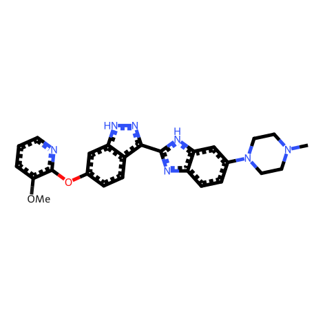 COc1cccnc1Oc1ccc2c(-c3nc4ccc(N5CCN(C)CC5)cc4[nH]3)n[nH]c2c1